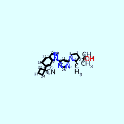 C[C@@H]1[C@@H](C(C)(C)O)CCN1c1cc(-n2ncc3ccc(C4(C#N)CCC4)cc32)ncn1